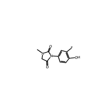 CN1CC(=O)N(c2ccc(O)c(F)c2)C1=O